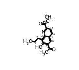 CCCc1c(O)c(C(C)=O)cc2ccc(C(=O)OC)nc12